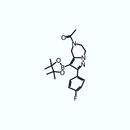 CC(=O)N1CCn2nc(-c3ccc(F)cc3)c(B3OC(C)(C)C(C)(C)O3)c2C1